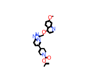 C=C(C)OC(=O)N1CC=C(c2ccc3nnc(COc4ccnc5cc(OC)ccc45)n3c2)CC1